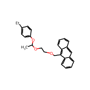 CCc1ccc(OC(C)OCCOCc2c3ccccc3cc3ccccc23)cc1